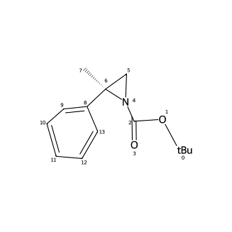 CC(C)(C)OC(=O)N1C[C@]1(C)c1ccccc1